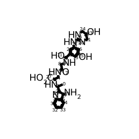 CC(NC(CNC(=O)CNC(O)c1cc(O)cc(NC2=NCC(O)CN2)c1)C(=O)O)C1=Nc2ccccc2C1N